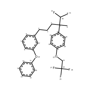 CC(CCCc1cccc(Oc2ccccc2)c1)(c1ccc(OCC(F)(F)F)cc1)C(F)F